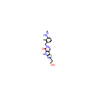 C=NNc1cccc(Cn2ncc3c4sc(CCO)nc4n(C)c3c2=O)c1C